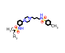 Cc1ccc(S(=O)(=O)NCCCCN2CCN(c3cccc(NS(=O)(=O)C(C)C)c3)CC2)cc1